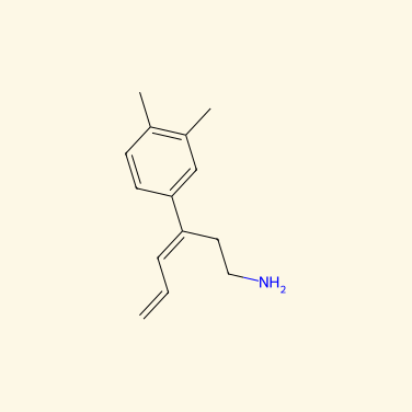 C=C/C=C(\CCN)c1ccc(C)c(C)c1